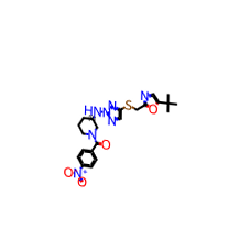 CC(C)(C)c1cnc(CSc2cnn(N[C@@H]3CCCN(C(=O)c4ccc([N+](=O)[O-])cc4)C3)n2)o1